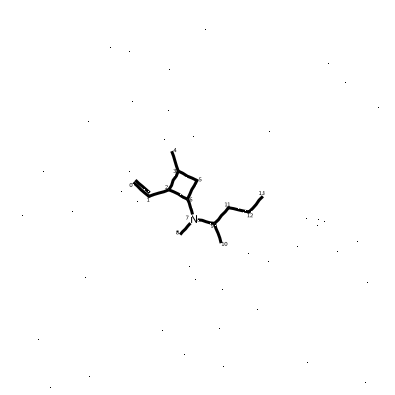 C=CC1C(C)CC1N(C)C(C)CCC